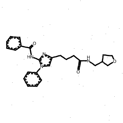 O=C(CCCc1cn(-c2ccccc2)c(NC(=O)c2ccccc2)n1)NCC1CCOC1